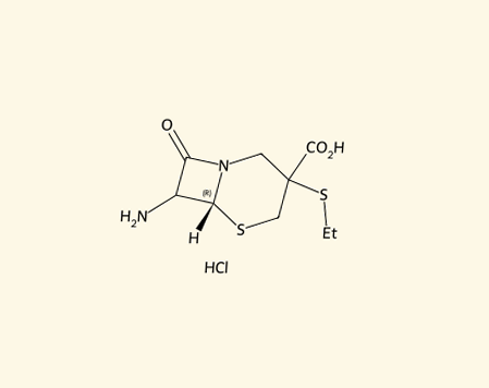 CCSC1(C(=O)O)CS[C@@H]2C(N)C(=O)N2C1.Cl